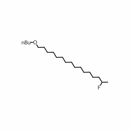 CCCCOCCCCCCCCCCCCCCC(C)F